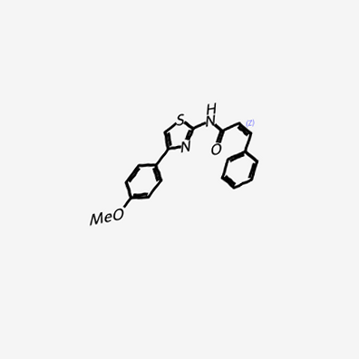 COc1ccc(-c2csc(NC(=O)/C=C\c3ccccc3)n2)cc1